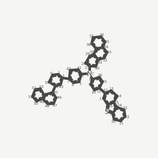 c1cc(-c2ccc(N(c3ccc(-c4ccc5c(c4)sc4ccccc45)cc3)c3ccc4c(ccc5ccccc54)c3)cc2)cc(-c2cccc3ccccc23)c1